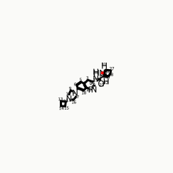 N#C[C@H](Cc1ccc(N2CCN(C3CCC3)CC2)cc1F)NC(=O)[C@H]1N[C@@H]2CC[C@H]1C2